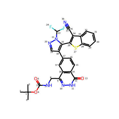 CC(C)(C)OC(=O)NCc1n[nH]c(=O)c2ccc(-c3cnn(C(F)F)c3-c3sc4ccccc4c3C#N)cc12